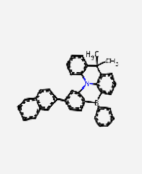 CC1(C)c2ccccc2N2c3cc(-c4ccc5ccccc5c4)ccc3B(c3ccccc3)c3cccc1c32